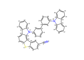 N#Cc1ccc2sc3ccc4c5ccccc5n(-c5cccc(-c6cccc(-n7c8ccccc8c8ccccc87)c6)c5)c4c3c2c1